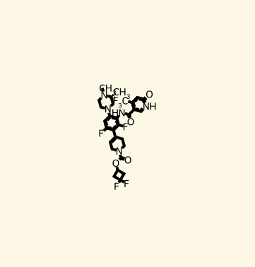 C[C@H]1CN(c2cc(F)c(C3=CCN(C(=O)OC4CC(F)(F)C4)CC3)c(F)c2NC(=O)c2c[nH]c(=O)cc2C(F)(F)F)CCN1C